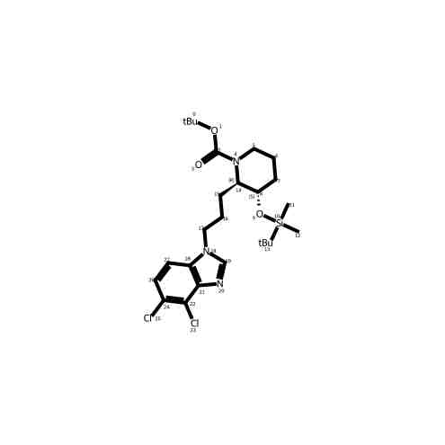 CC(C)(C)OC(=O)N1CCC[C@H](O[Si](C)(C)C(C)(C)C)[C@H]1CCCn1cnc2c(Cl)c(Cl)ccc21